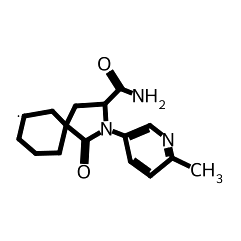 Cc1ccc(N2C(=O)C3(C[CH]CCC3)CC2C(N)=O)cn1